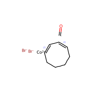 C1=C\CCCC\C=C/1.[Br-].[Br-].[C]=O.[Co+2]